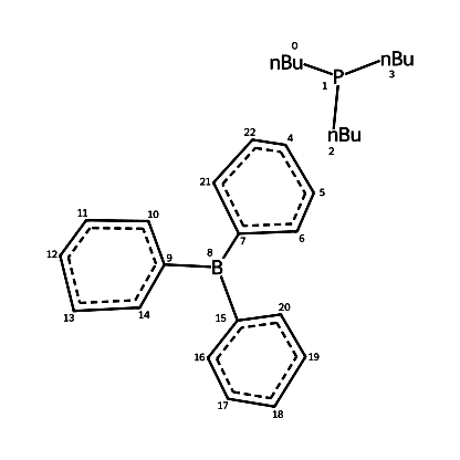 CCCCP(CCCC)CCCC.c1ccc(B(c2ccccc2)c2ccccc2)cc1